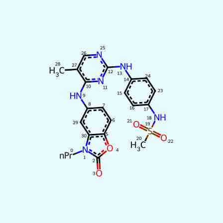 CCCn1c(=O)oc2ccc(Nc3nc(Nc4ccc(NS(C)(=O)=O)cc4)ncc3C)cc21